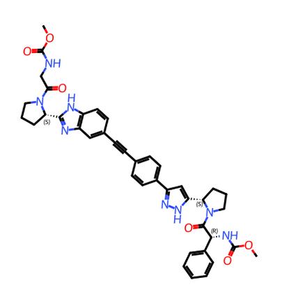 COC(=O)NCC(=O)N1CCC[C@H]1c1nc2cc(C#Cc3ccc(-c4cc([C@@H]5CCCN5C(=O)[C@H](NC(=O)OC)c5ccccc5)[nH]n4)cc3)ccc2[nH]1